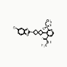 CCS(=O)(=O)c1nccc(C(=O)NC)c1C1CC2(CC(c3nc4cc(Cl)ccc4o3)C2)C1